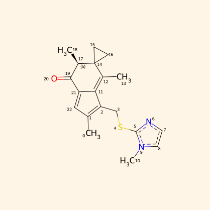 CC1=C(CSc2nccn2C)C2=C(C)C3(CC3)[C@H](C)C(=O)C2=C1